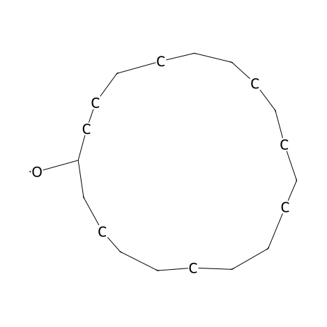 [O]C1CCCCCCCCCCCCCCCCCC1